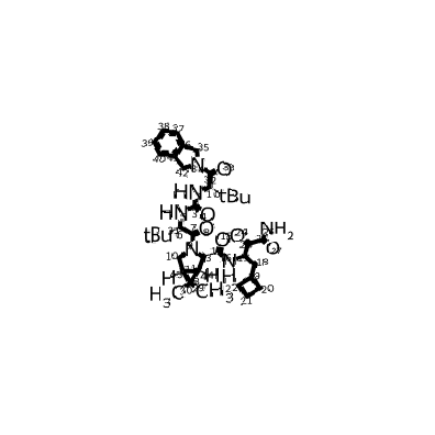 CC(C)(C)[C@H](NC(=O)N[C@H](C(=O)N1C[C@H]2[C@@H]([C@H]1C(=O)NC(CC1CCC1)C(=O)C(N)=O)C2(C)C)C(C)(C)C)C(=O)N1Cc2ccccc2C1